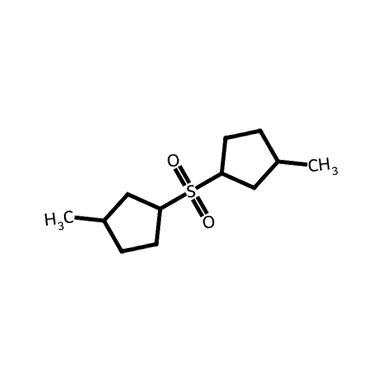 CC1CCC(S(=O)(=O)C2CCC(C)C2)C1